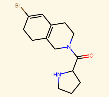 O=C(C1CCCN1)N1CCC2=C(CCC(Br)=C2)C1